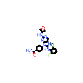 NC(=O)[C@H]1CC[C@H](n2c(Nc3c(F)cccc3Cl)nc3cnc(NC4COC4)nc32)CC1